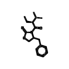 CC[C@H](C(=O)N1C(=O)OCC1Cc1ccccc1)C(C)C